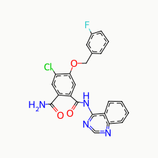 NC(=O)c1cc(Cl)c(OCc2cccc(F)c2)cc1C(=O)Nc1ncnc2ccccc12